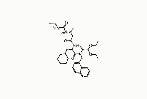 CCNC(=O)NN(C)CC(=O)NC(CC1CCCCC1)C(=O)N(Cc1cccc2ccccc12)C(C)C(OCC)OCC